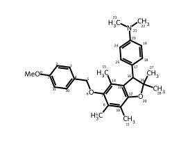 COc1ccc(COc2c(C)c(C)c3c(c2C)C(c2ccc(N(C)C)cc2)C(C)(C)O3)cc1